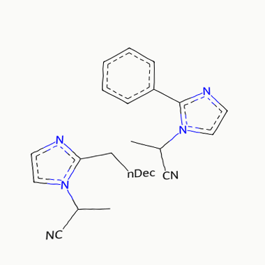 CC(C#N)n1ccnc1-c1ccccc1.CCCCCCCCCCCc1nccn1C(C)C#N